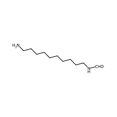 NCCCCCCCCCCN[C]=O